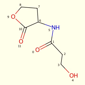 O=C(CCO)NC1CCOC1=O